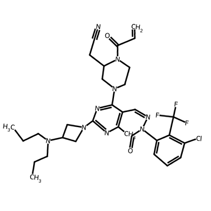 C=CC(=O)N1CCN(c2nc(N3CC(N(CCC)CCC)C3)nc(C)c2/C=N\N(C=O)c2cccc(Cl)c2C(F)(F)F)CC1CC#N